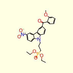 CCOP(=O)(CCCn1c2ccc(C(=O)c3ccccc3OC)cc2c2cc([N+](=O)[O-])ccc21)OCC